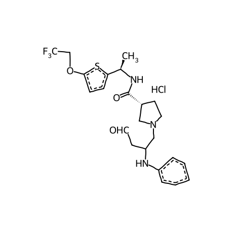 C[C@@H](NC(=O)[C@@H]1CCN(CC(CC=O)Nc2ccccc2)C1)c1ccc(OCC(F)(F)F)s1.Cl